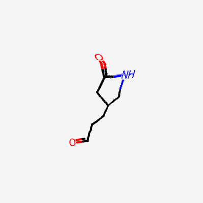 O=CCCC1CNC(=O)C1